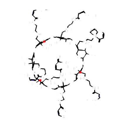 C=C(O)/C=C\C(=C)NCCNCC1OC2OC3C(CNCCNC(=O)/C=C\C(=O)O)OC(OC4C(CNCCNC(=O)/C=C\C(=O)O)OC(OC5C(CNCCNC(=O)/C=C\C(=O)O)OC(OC6(CCNCC[N+]7(C(=O)/C=C\C(=O)O)CCC7)COC(OC7C(CNCCNC(=O)/C=C\C(=O)O)OC(OC8C(CNCNC(=O)/C=C\C(C)=O)OC(OC1C(O)C2O)C(O)C8O)C(O)C7O)C(O)C6O)C(O)C5O)C(O)C4O)C(O)C3O